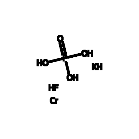 F.O=P(O)(O)O.[Cr].[KH]